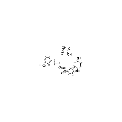 COc1cccc(/C=C/CONC(=O)c2ccc3[nH]c4c(c3c2)CC(N)CC4)c1.O=C(O)C(=O)O